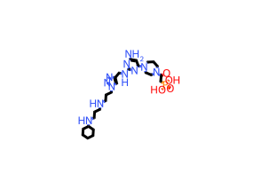 Nc1cc(N2CCCN(C(=O)CP(=O)(O)O)CC2)nc(NCc2cn(CCCNCCCNC3CCCCC3)nn2)n1